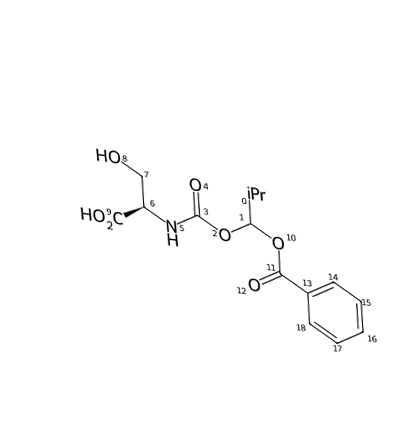 CC(C)C(OC(=O)N[C@H](CO)C(=O)O)OC(=O)c1ccccc1